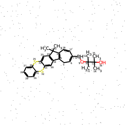 CC1(C)C2=C(CC=C(BOC(C)(C)C(C)(C)O)C=C2)c2cc3c(cc21)Sc1ccccc1S3